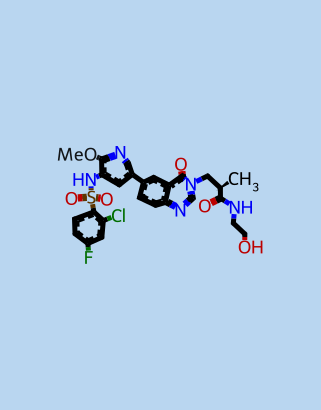 COc1ncc(-c2ccc3ncn(C[C@@H](C)C(=O)NCCO)c(=O)c3c2)cc1NS(=O)(=O)c1ccc(F)cc1Cl